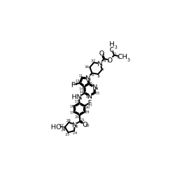 CC(C)OC(=O)N1CCC(n2cc(F)c3c(Nc4ccc(C(=O)N5CC[C@@H](O)C5)cc4F)ncnc32)CC1